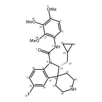 COc1ccc(NC(=O)N2c3ccc(F)cc3C3(CCNCC3)[C@H]2CC2CC2)c(OC)c1OC